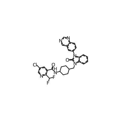 O=C(NC1CCC(Cn2c(=O)n(-c3ccc4ncncc4c3)c3ccccc32)CC1)c1cc(Cl)cnc1C(F)F